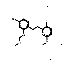 COCOc1cc(Br)ccc1CCc1nc(OC)ccc1Br